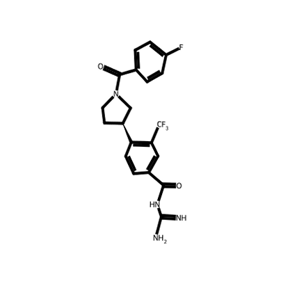 N=C(N)NC(=O)c1ccc([C@H]2CCN(C(=O)c3ccc(F)cc3)C2)c(C(F)(F)F)c1